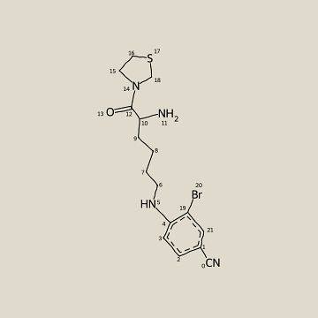 N#Cc1ccc(NCCCCC(N)C(=O)N2CCSC2)c(Br)c1